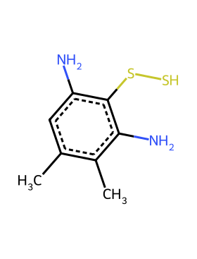 Cc1cc(N)c(SS)c(N)c1C